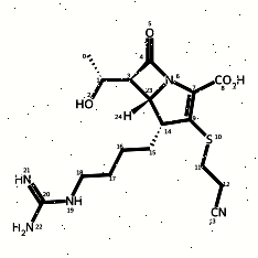 C[C@@H](O)[C@H]1C(=O)N2C(C(=O)O)=C(SCCC#N)[C@H](CCCCNC(=N)N)[C@H]12